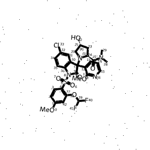 COc1ccc(S(=O)(=O)N2C(=O)C(c3cccnc3OC)(N3C[C@H](O)C[C@H]3C(=O)N(C)C)c3cc(Cl)ccc32)c(OC(F)F)c1